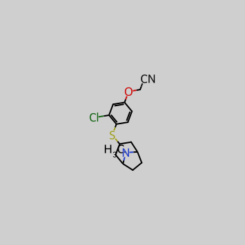 CN1C2CCC1CC(Sc1ccc(OCC#N)cc1Cl)C2